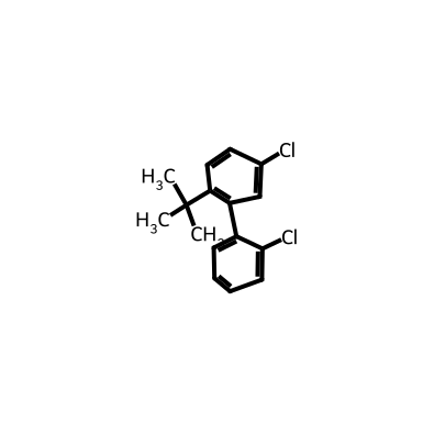 CC(C)(C)c1ccc(Cl)cc1-c1ccccc1Cl